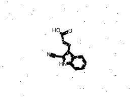 N#Cc1[nH]c2ccccc2c1/C=C/C(=O)O